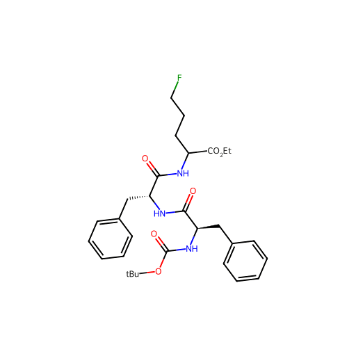 CCOC(=O)C(CCCF)NC(=O)[C@@H](Cc1ccccc1)NC(=O)[C@@H](Cc1ccccc1)NC(=O)OC(C)(C)C